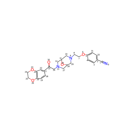 N#Cc1ccc(OCCN2CC3CN(CC(=O)c4ccc5c(c4)OCCO5)CC(C2)O3)cc1